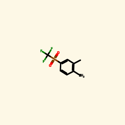 Bc1ccc(S(=O)(=O)C(F)(F)F)cc1C